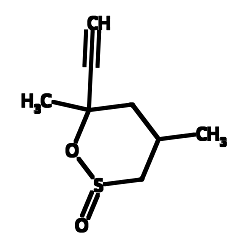 C#CC1(C)CC(C)CS(=O)O1